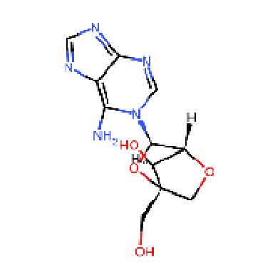 Nc1c2ncnc-2ncn1[C@@H]1O[C@@]2(CO)CO[C@@H]1[C@@H]2O